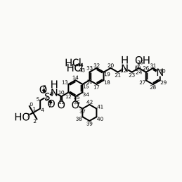 CC(C)(O)CCS(=O)(=O)NC(=O)c1ccc(-c2ccc(CCNC[C@H](O)c3cccnc3)cc2)cc1OC1CCCCC1.Cl.Cl